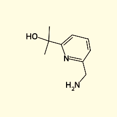 CC(C)(O)c1cccc(CN)n1